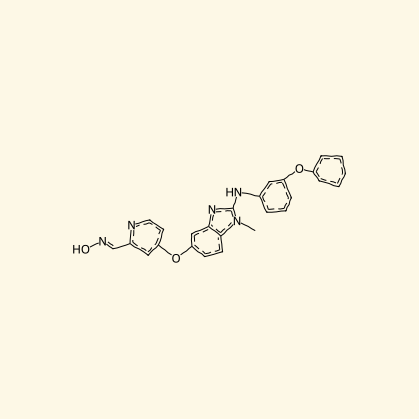 Cn1c(Nc2cccc(Oc3ccccc3)c2)nc2cc(Oc3ccnc(C=NO)c3)ccc21